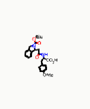 COc1ccc(CC(NC(=O)CC2c3ccccc3CN2C(=O)OC(C)(C)C)C(=O)O)cc1